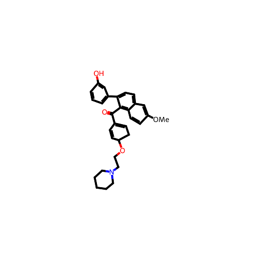 COc1ccc2c(C(=O)C3=CCC(OCCN4CCCCC4)C=C3)c(-c3cccc(O)c3)ccc2c1